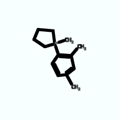 Cc1ccc([N+]2(C)CCCC2)c(C)c1